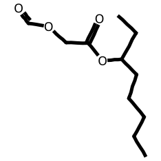 CCCCCC(CC)OC(=O)COC=O